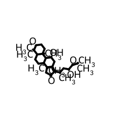 CC(CC(O)C1OC1(C)C)C1=C2CC(O)C3C4(C)CCC(=O)C(C)(C)C4CCC3(C)C2(C)CC1=O